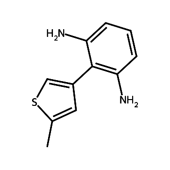 Cc1cc(-c2c(N)cccc2N)cs1